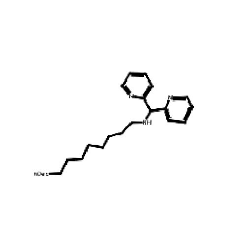 CCCCCCCCCCCCCCCCCCNC(c1ccccn1)c1ccccn1